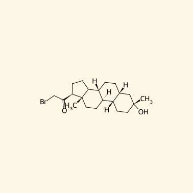 C[C@@]1(O)CC[C@H]2[C@H](CC[C@H]3C4CC[C@H](C(=O)CBr)[C@@]4(C)CC[C@H]23)C1